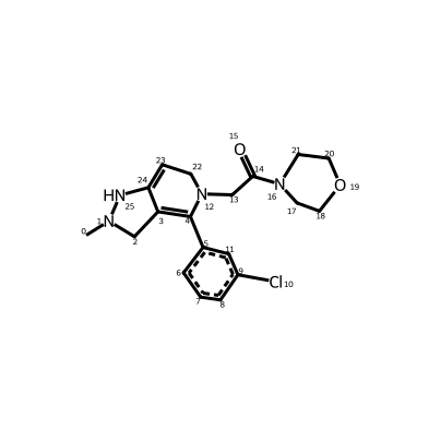 CN1CC2=C(c3cccc(Cl)c3)N(CC(=O)N3CCOCC3)CC=C2N1